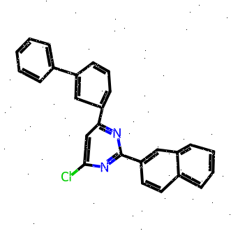 Clc1cc(-c2cccc(-c3ccccc3)c2)nc(-c2ccc3ccccc3c2)n1